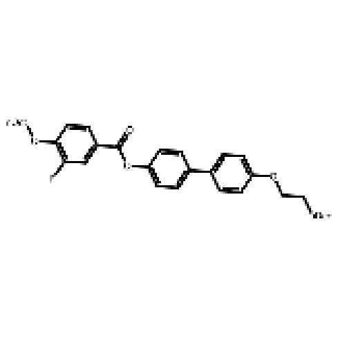 CCCCCCCCCCCCOc1ccc(-c2ccc(OC(=O)c3ccc(OCCCCCCCC)c(F)c3)cc2)cc1